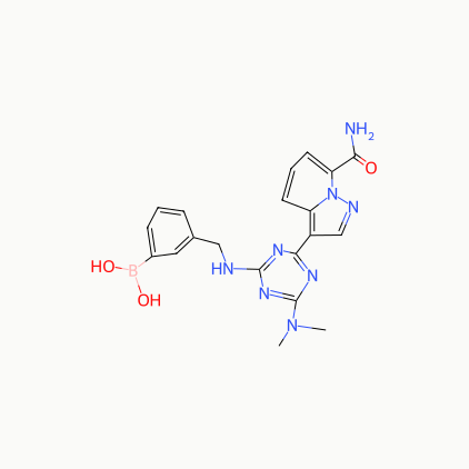 CN(C)c1nc(NCc2cccc(B(O)O)c2)nc(-c2cnn3c(C(N)=O)cccc23)n1